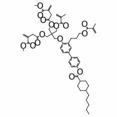 C=C(C)C(=O)OCCCc1cc(-c2ccc(OC(=O)C3CCC(CCCCC)CC3)cc2)ccc1OCC(COC(=O)CC(=C)C(=O)OC)(COC(=O)CC(=C)C(=O)OC)COC(=O)C(=C)C